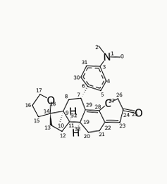 CN(C)c1ccc([C@H]2C[C@@]3(C)[C@H](CC[C@]34CCCO4)[C@@H]3CCC4=CC(=O)CCC4=C32)cc1